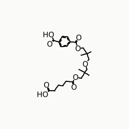 CC(C)(COCC(C)(C)COC(=O)c1ccc(C(=O)O)cc1)COC(=O)CCCCC(=O)O